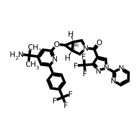 CC(C)(N)c1cc(OC2[C@H]3CN(C(=O)c4cn(-c5ncccn5)nc4C(F)(F)F)C[C@@H]23)nc(-c2ccc(C(F)(F)F)cc2)c1